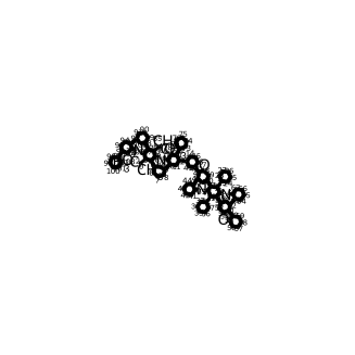 CC(C)c1c2c3cccc4c5cc(-c6ccc7oc8cc9c%10c(-c%11ccccc%11)c%11c(c(-c%12ccccc%12)c%10n%10c%12ccccc%12c(c8c7c6)c9%10)c6cc7oc8ccccc8c7c7c8ccccc8n%11c67)c6c7ccccc7oc6c5n(c2c(C(C)C)c2c5cccc6c7ccc8c9ccccc9oc8c7n(c12)c65)c43